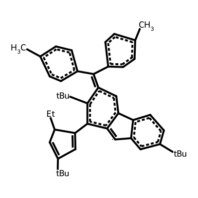 CCC1C=C(C(C)(C)C)C=C1c1c(C(C)(C)C)c(=C(c2ccc(C)cc2)c2ccc(C)cc2)cc2c1=[C]c1cc(C(C)(C)C)ccc1-2